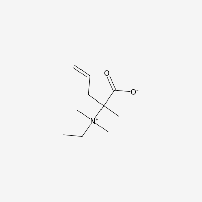 C=CCC(C)(C(=O)[O-])[N+](C)(C)CC